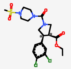 CCOC(=O)[C@@H]1CN(C(=O)N2CCN(S(C)(=O)=O)CC2)C[C@@H]1c1ccc(Cl)c(Cl)c1